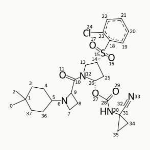 CC1(C)CCC(N2CCC2C(=O)N2C[C@H](S(=O)(=O)c3ccccc3Cl)C[C@@H]2OC(=O)NC2(C#N)CC2)CC1